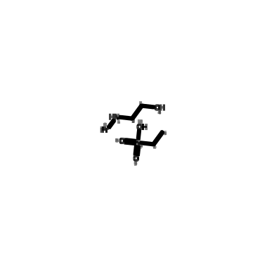 CC(C)NCCO.CCS(=O)(=O)O